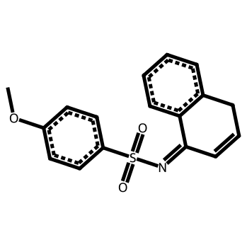 COc1ccc(S(=O)(=O)/N=C2/C=CCc3ccccc32)cc1